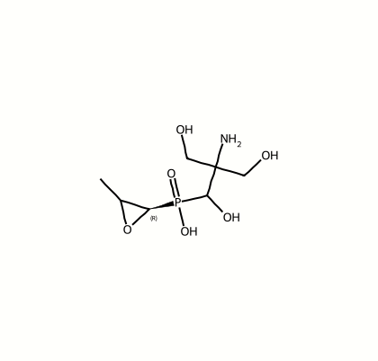 CC1O[C@@H]1P(=O)(O)C(O)C(N)(CO)CO